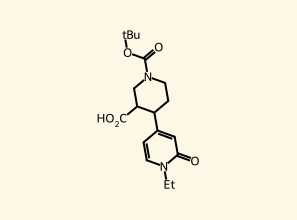 CCn1ccc(C2CCN(C(=O)OC(C)(C)C)CC2C(=O)O)cc1=O